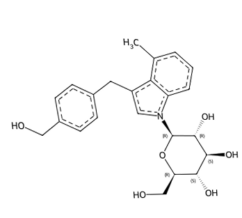 Cc1cccc2c1c(Cc1ccc(CO)cc1)cn2[C@@H]1O[C@H](CO)[C@@H](O)[C@H](O)[C@H]1O